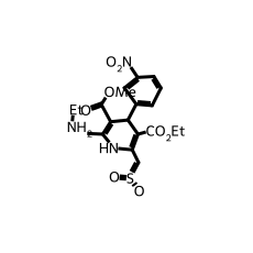 CCN.CCOC(=O)C1=C(C=S(=O)=O)NC(C)=C(C(=O)OC)C1c1cccc([N+](=O)[O-])c1